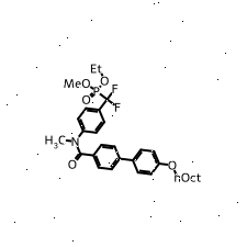 CCCCCCCCOc1ccc(-c2ccc(C(=O)N(C)c3ccc(C(F)(F)P(=O)(OC)OCC)cc3)cc2)cc1